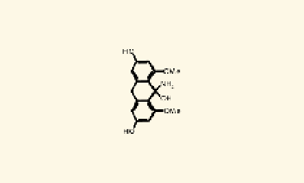 COc1cc(O)cc2c1C(N)(O)c1c(cc(O)cc1OC)C2